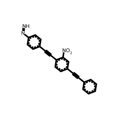 N=Nc1ccc(C#Cc2ccc(C#Cc3ccccc3)cc2[N+](=O)[O-])cc1